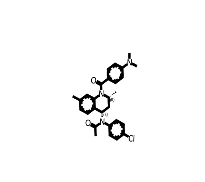 CC(=O)N(c1ccc(Cl)cc1)[C@H]1C[C@@H](C)N(C(=O)c2ccc(N(C)C)cc2)c2cc(C)ccc21